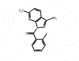 Cc1ccccc1C(=O)n1nc(N)c2ccc(C(F)(F)F)nc21